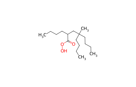 CCCCC(CC(C)(CCCC)CCCC)C(=O)OO